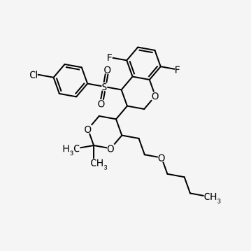 CCCCOCCC1OC(C)(C)OCC1C1COc2c(F)ccc(F)c2C1S(=O)(=O)c1ccc(Cl)cc1